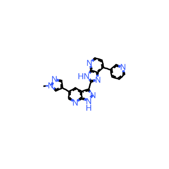 Cn1cc(-c2cnc3[nH]nc(-c4nc5c(-c6cccnc6)ccnc5[nH]4)c3c2)cn1